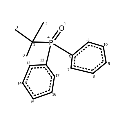 CC(C)(C)P(=O)(c1ccccc1)c1ccccc1